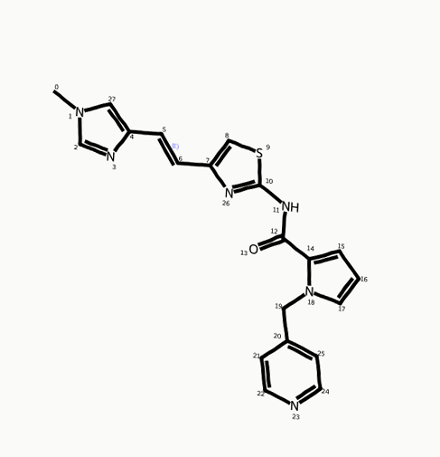 Cn1cnc(/C=C/c2csc(NC(=O)c3cccn3Cc3ccncc3)n2)c1